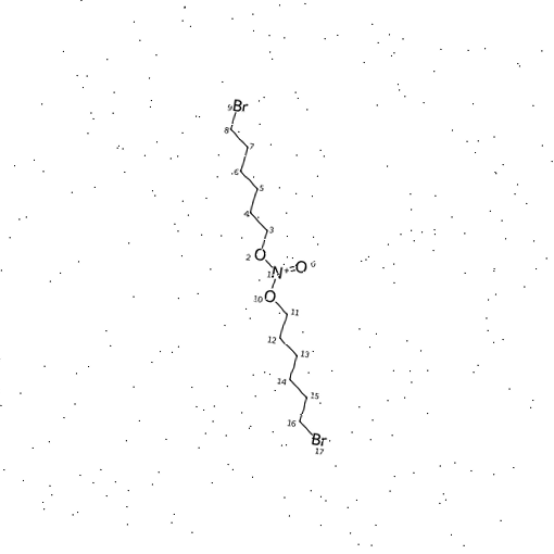 O=[N+](OCCCCCCBr)OCCCCCCBr